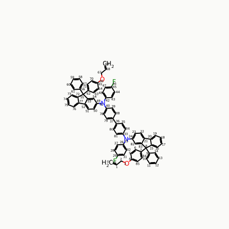 C=CCOc1ccc(C2(c3ccccc3)c3ccccc3-c3ccc(N(c4ccc(F)cc4)c4ccc(-c5ccc(N(c6ccc(F)cc6)c6ccc7c(c6)C(c6ccccc6)(c6ccc(OCC=C)cc6)c6ccccc6-7)cc5)cc4)cc32)cc1